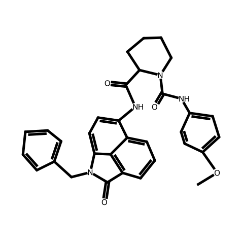 COc1ccc(NC(=O)N2CCCCC2C(=O)Nc2ccc3c4c(cccc24)C(=O)N3Cc2ccccc2)cc1